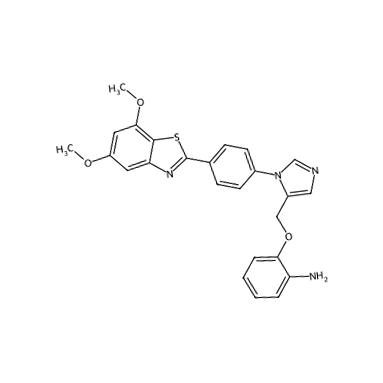 COc1cc(OC)c2sc(-c3ccc(-n4cncc4COc4ccccc4N)cc3)nc2c1